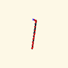 CC(C)=CCC/C(C)=C/CC/C(C)=C/CC/C(C)=C/CC/C(C)=C/CC/C(C)=C/CC/C(C)=C/CC/C(C)=C/CC/C(C)=C/CCC(C)CCC#N